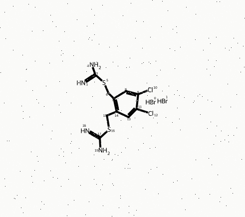 Br.Br.N=C(N)SCc1cc(Cl)c(Cl)cc1CSC(=N)N